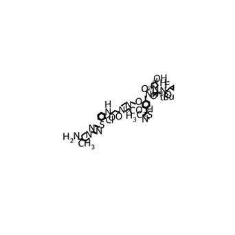 Cc1ncsc1-c1ccc(CNC(=O)[C@@H]2C[C@@H](O)CN2C(=O)[C@@H](NC(=O)C2(F)CC2)C(C)(C)C)c(OCCN2CCN(C(=O)CC(=O)Nc3cccc(Sc4cnc(N5CCC(C)(CN)CC5)cn4)c3Cl)C[C@H]2C(=O)O)c1